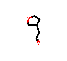 O=[C]CC1CCOC1